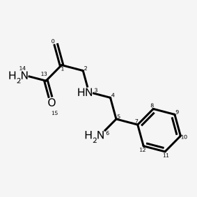 C=C(CNCC(N)c1ccccc1)C(N)=O